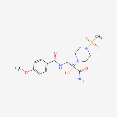 COc1ccc(C(=O)NC[C@](O)(C(N)=O)N2CCN(S(C)(=O)=O)CC2)cc1